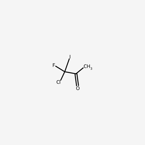 CC(=O)C(F)(Cl)I